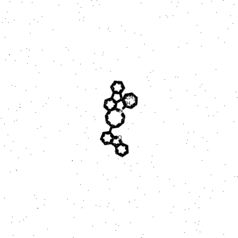 CC1(C)c2ccccc2-c2ccc3ccc(-c4cccc5c4oc4ccccc45)cccn(C4=CC=CCC=C4)c3c21